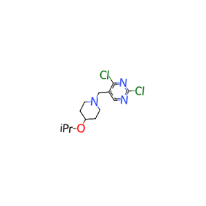 CC(C)OC1CCN(Cc2cnc(Cl)nc2Cl)CC1